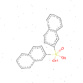 O=S(O)(O)(c1ccc2ccccc2c1)c1ccc2ccccc2c1